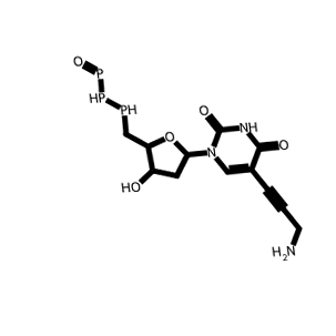 NCC#Cc1cn(C2CC(O)C(CPPP=O)O2)c(=O)[nH]c1=O